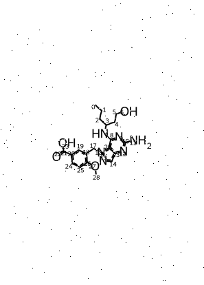 CCCC(CCO)Nc1nc(N)nc2cnn(Cc3cc(C(=O)O)ccc3OC)c12